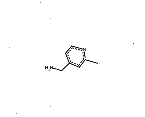 [CH2]c1cc(CN)ccn1